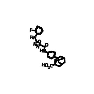 O=C(Nc1ccc(C23CC4CC(CC(C(=O)O)(C4)C2)C3)cc1)c1nnc(Nc2ccccc2F)o1